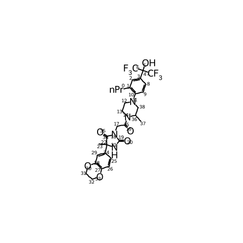 CCCc1cc(C(O)(C(F)(F)F)C(F)(F)F)ccc1N1CCN(C(=O)CN2C(=O)NC(C)(c3ccc4c(c3)OCCO4)C2=O)C(C)C1